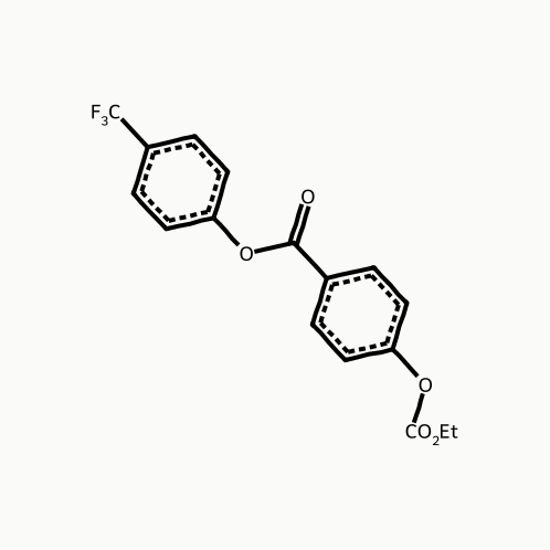 CCOC(=O)Oc1ccc(C(=O)Oc2ccc(C(F)(F)F)cc2)cc1